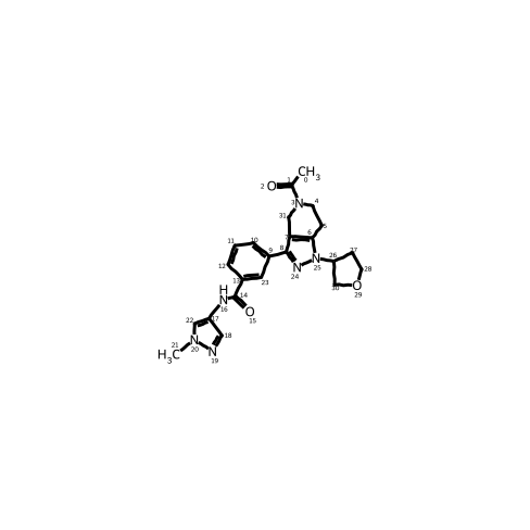 CC(=O)N1CCc2c(c(-c3cccc(C(=O)Nc4cnn(C)c4)c3)nn2C2CCOC2)C1